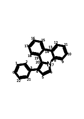 c1ccc(-c2ccn3c4ccccc4c4ccccc4c23)cc1